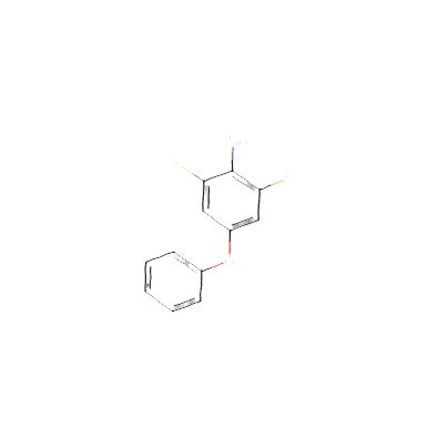 Nc1c(F)cc(Oc2ccccc2)cc1F